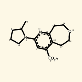 CC1CCCN1c1cc(C(=O)O)c2c(n1)CCOCC2